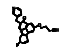 O=c1c(Cc2cccnc2)cn2c3cc(F)ccc3c3cc(OCCCO)cc1c32